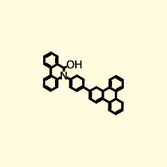 OC1c2ccccc2-c2ccccc2N1C1=CC=C(C2=CC=C3C4=CC=CCC4c4ccccc4C3C2)CC1